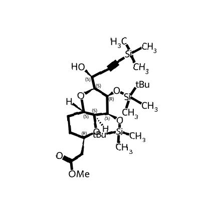 COC(=O)C[C@H]1CC[C@@H]2O[C@@H]([C@@H](O)C#C[Si](C)(C)C)[C@@H](O[Si](C)(C)C(C)(C)C)[C@@H](O[Si](C)(C)C(C)(C)C)[C@H]2O1